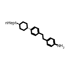 CCCCCCC[C@H]1CC[C@H](c2ccc(CCc3ccc(N)cc3)cc2)CC1